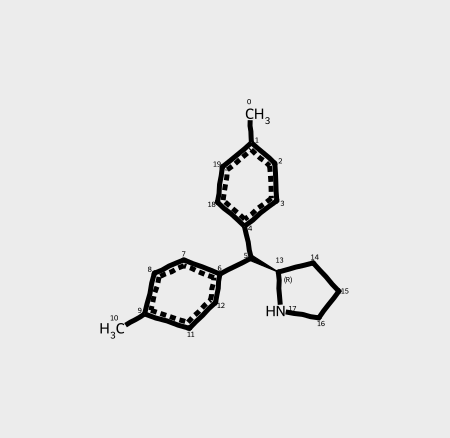 Cc1ccc(C(c2ccc(C)cc2)[C@H]2CCCN2)cc1